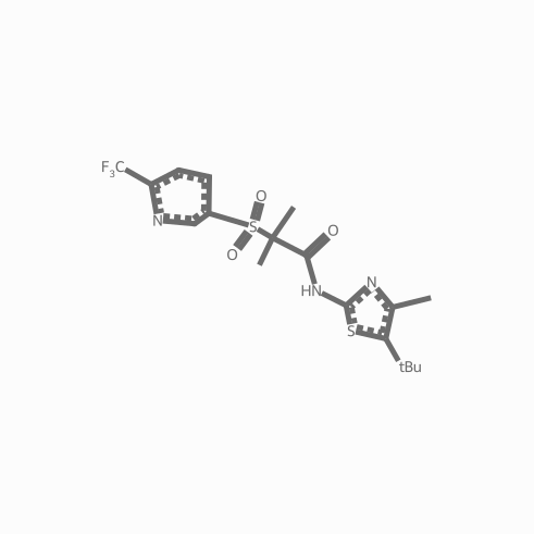 Cc1nc(NC(=O)C(C)(C)S(=O)(=O)c2ccc(C(F)(F)F)nc2)sc1C(C)(C)C